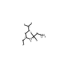 CC[C@@H](CCC(C)C)OC(C)(C)CN